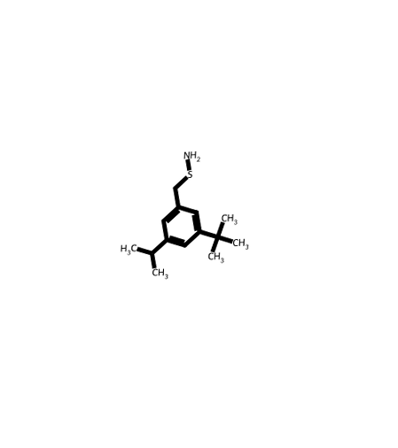 CC(C)c1cc(CSN)cc(C(C)(C)C)c1